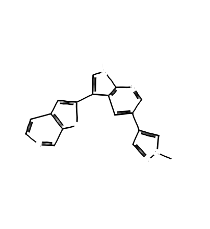 Cn1cc(-c2cnc3[nH]cc(-c4cc5ccncc5s4)c3c2)cn1